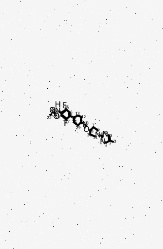 Cc1cnc(N2CCC(ON=C3CCC(c4cc(F)c(NS(C)(=O)=O)cc4F)CC3)CC2)nc1